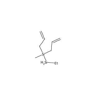 C=CC[Si](C)(CC=C)[SiH2]CC